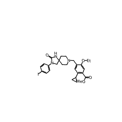 CCOc1cc(C(=O)OC)c(C2CC2)cc1CN1CCC2(CC1)CN(c1ccc(I)cc1)C(=O)N2